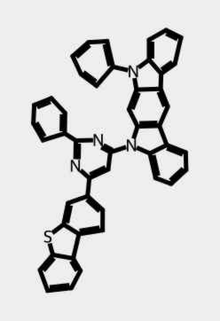 c1ccc(-c2nc(-c3ccc4c(c3)sc3ccccc34)cc(-n3c4ccccc4c4cc5c6ccccc6n(-c6ccccc6)c5cc43)n2)cc1